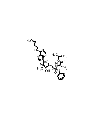 CCCCNc1ncnc2c1ncn2[C@@H]1O[C@H](COP(=O)(N[C@@H](C)C(=O)OC(C)C)Oc2ccccc2)[C@@H](O)[C@@]1(C)F